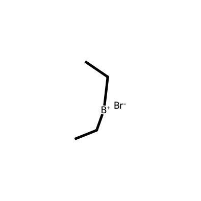 CC[B+]CC.[Br-]